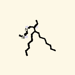 C\C=C(/C=N\C=N/C)C(CCCCCC)CCCCCCC